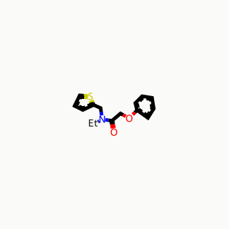 CCN(Cc1cccs1)C(=O)COc1ccccc1